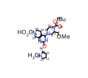 COCC1CN(c2nc(OC[C@@H]3CCCN3C)nc3c2CCN(C(=O)O)C3)CCN1C(=O)OC(C)(C)C